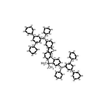 CC1(C)c2cc(N(c3ccccc3)c3cc(-c4ccccc4)cc(-c4ccccc4)c3)ccc2-c2c1ccc1c2sc2ccc(N(c3ccccc3)c3cc(-c4ccccc4)cc(-c4ccccc4)c3)cc21